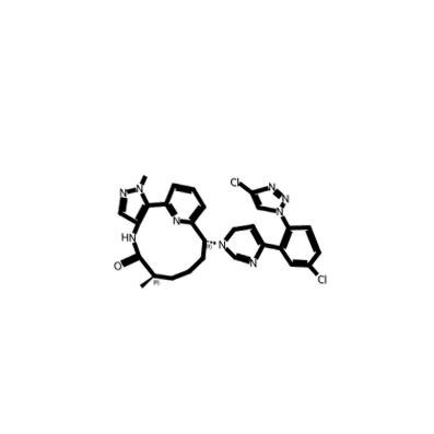 C[C@@H]1CCC[C@@H](N2C=NC(c3cc(Cl)ccc3-n3cc(Cl)nn3)=CC2)c2cccc(n2)-c2c(cnn2C)NC1=O